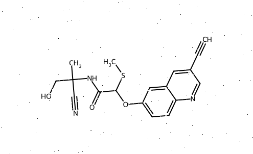 C#Cc1cnc2ccc(OC(SC)C(=O)NC(C)(C#N)CO)cc2c1